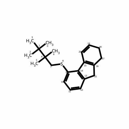 CC(C)(C)C(C)(C)CSc1cccc2c1C1=C(CCC=C1)C2